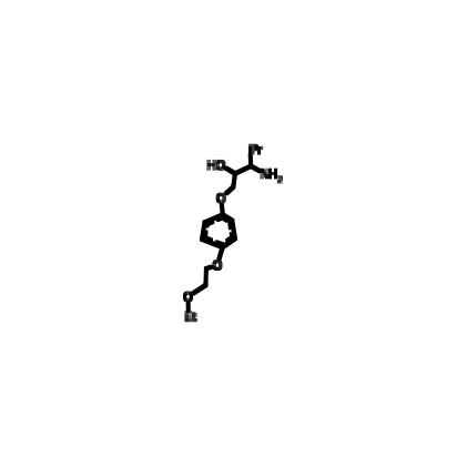 [CH2]COCCOc1ccc(OCC(O)C(N)C(C)C)cc1